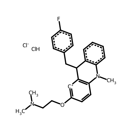 CN(C)CCOC1=[C+]C2=C(C=C1)N(C)c1ccccc1C2Cc1ccc(F)cc1.Cl.[Cl-]